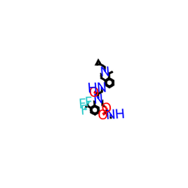 CNC(=O)OCCN(Cc1ccccc1C(F)(F)F)C(=O)CNc1cccc2c1CCN(CC1CC1)C2C